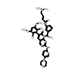 COc1cc(OC)c(Cl)c(-c2cc3cnc(Nc4ccc(N5CCOCC5)cn4)nc3n(C(C)c3cccc(NC(=O)/C=C/CN(C)C)c3)c2=O)c1Cl